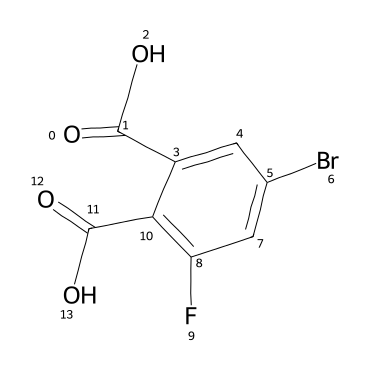 O=C(O)c1cc(Br)cc(F)c1C(=O)O